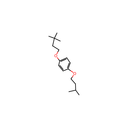 CC(C)CCOc1ccc(OCCC(C)(C)C)cc1